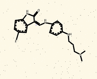 CN(C)CCCNc1ccc(N/C=C2\C(=O)Nc3ccc(F)cc32)cc1